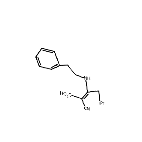 CC(C)CC(NCCc1ccccc1)=C(C#N)C(=O)O